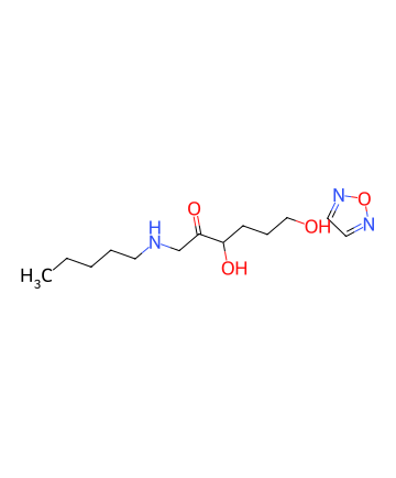 CCCCCNCC(=O)C(O)CCCO.c1cnon1